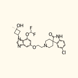 C[C@]1(O)C[C@@H](n2cnc3cc(OCCN4CCC5(CC4)C(=O)Nc4ccc(Cl)cc45)cc(OC(F)F)c32)C1